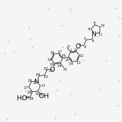 Cc1c(OCCCN2CCCC2)cccc1-c1cccc(OCCCN2CCC(CO)C(O)C2)c1C